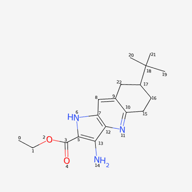 CCOC(=O)c1[nH]c2cc3c(nc2c1N)CCC(C(C)(C)C)C3